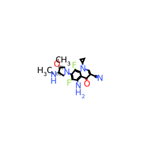 CN[C@H]1CN(c2c(F)c(N)c3c(=O)c(C#N)cn(C4CC4)c3c2F)C[C@H]1OC